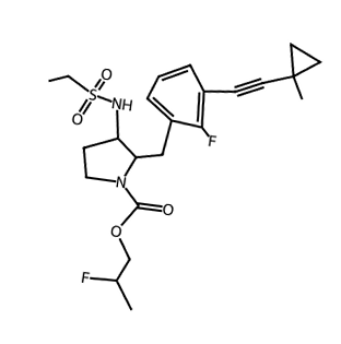 CCS(=O)(=O)NC1CCN(C(=O)OCC(C)F)C1Cc1cccc(C#CC2(C)CC2)c1F